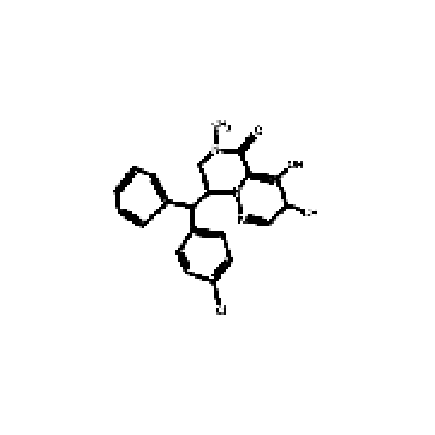 CN1CC(C(c2ccccc2)c2ccc(Cl)cc2)N2N=CC(O)C(O)=C2C1=O